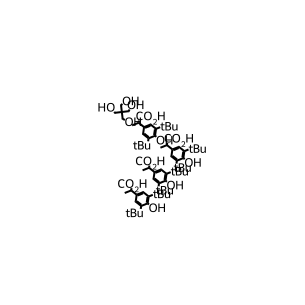 CC(C(=O)O)c1cc(C(C)(C)C)c(O)c(C(C)(C)C)c1.CC(C(=O)O)c1cc(C(C)(C)C)c(O)c(C(C)(C)C)c1.CC(C(=O)O)c1cc(C(C)(C)C)c(O)c(C(C)(C)C)c1.CC(C(=O)O)c1cc(C(C)(C)C)c(O)c(C(C)(C)C)c1.OCC(CO)(CO)CO